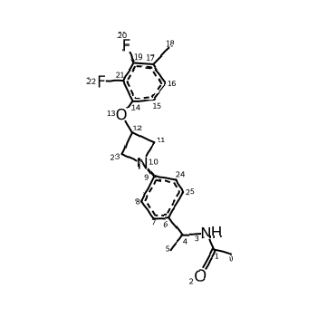 CC(=O)NC(C)c1ccc(N2CC(Oc3ccc(C)c(F)c3F)C2)cc1